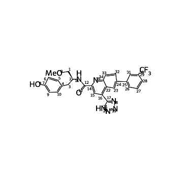 COC[C@H](Cc1ccc(O)cc1)NC(=O)c1cc(-c2nnn[nH]2)c2cc(-c3cccc(C(F)(F)F)c3)ccc2n1